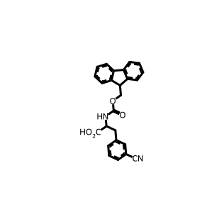 N#Cc1cccc(CC(NC(=O)OCC2c3ccccc3-c3ccccc32)C(=O)O)c1